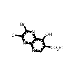 CCOC(=O)c1cnc2nc(Cl)c(Br)nc2c1O